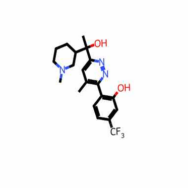 Cc1cc(C(C)(O)C2CCCN(C)C2)nnc1-c1ccc(C(F)(F)F)cc1O